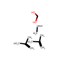 C=C(C)C(=O)O.C=C(C)C(=O)O.CCCCCCCCCC.OCO